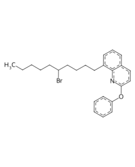 CCCCCC(Br)CCCCc1cccc2ccc(Oc3ccccc3)nc12